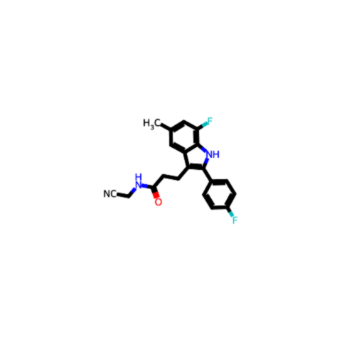 Cc1cc(F)c2[nH]c(-c3ccc(F)cc3)c(CCC(=O)NCC#N)c2c1